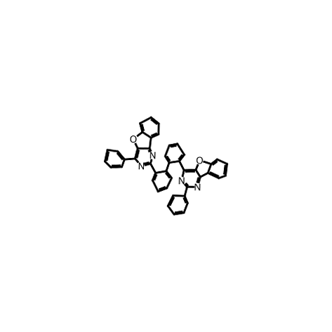 c1ccc(-c2nc(-c3ccccc3-c3ccccc3-c3nc(-c4ccccc4)c4oc5ccccc5c4n3)c3oc4ccccc4c3n2)cc1